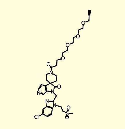 C#CCOCCOCCOCCOCCC(=O)N1CCC2(CC1)C(=O)N(Cc1nc3cc(Cl)ccc3n1CCS(C)(=O)=O)c1cnccc12